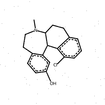 CN1CCc2ccc(O)cc2C2c3c(Cl)cccc3CCC21